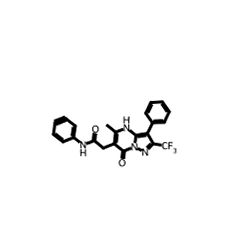 Cc1[nH]c2c(-c3ccccc3)c(C(F)(F)F)nn2c(=O)c1CC(=O)Nc1cc#ccc1